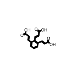 O=C(O)C=Cc1cccc(C=CC(=O)O)c1C=CC(=O)O